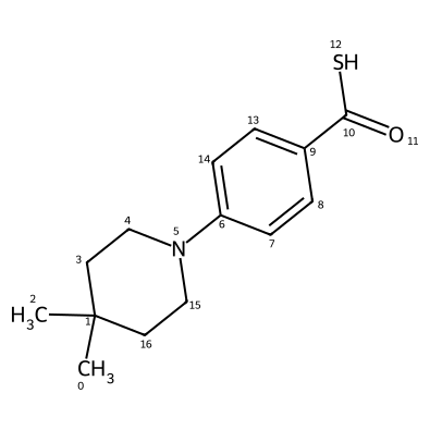 CC1(C)CCN(c2ccc(C(=O)S)cc2)CC1